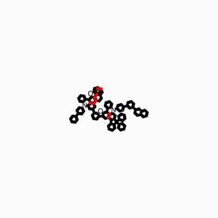 c1ccc(-c2ccc(N(c3cc(-c4ccc5ccccc5c4)cc(-c4cccc5c4oc4c(-c6ccccc6N(c6ccc(-c7cccc(-c8ccc9ccccc9c8)c7)cc6)c6ccc7c(c6)C(c6ccccc6)(c6ccccc6)c6ccccc6-7)cccc45)c3)c3ccccc3-c3cccc4c3oc3ccccc34)cc2)cc1